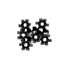 C=N/C(=N\C(=N/Cn1c2ccccc2c2ccc3c4ccccc4n(-c4ccccc4)c3c21)c1ccccc1)c1ccccc1